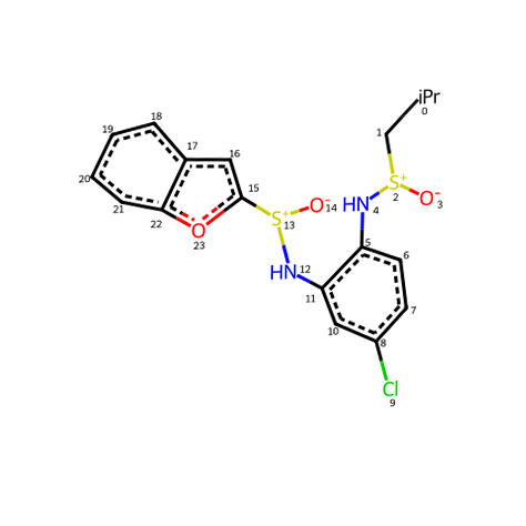 CC(C)C[S+]([O-])Nc1ccc(Cl)cc1N[S+]([O-])c1cc2ccccc2o1